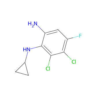 Nc1cc(F)c(Cl)c(Cl)c1NC1CC1